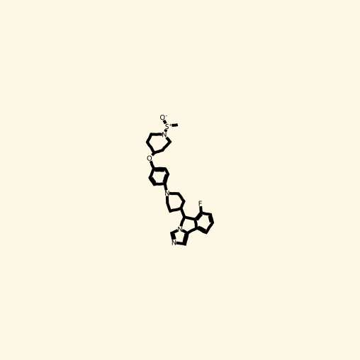 C[S+]([O-])N1CCC(Oc2ccc(N3CCC(C4c5c(F)cccc5-c5cncn54)CC3)cc2)CC1